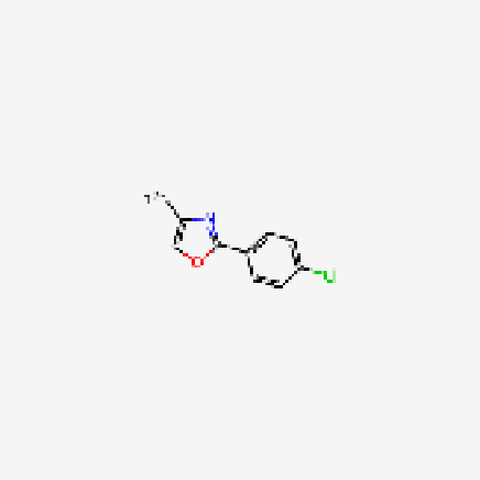 [CH2]CCc1coc(-c2ccc(Cl)cc2)n1